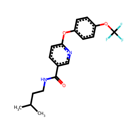 CC(C)CCNC(=O)c1ccc(Oc2ccc(OC(F)(F)F)cc2)nc1